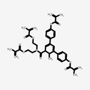 C=C(C)C(=O)OCCN(CCOC(=O)C(=C)C)C(=O)C1C=C(c2ccc(OC(=O)C(=C)C)cc2)C=C(c2ccc(OC(=O)C(=C)C)cc2)C1C